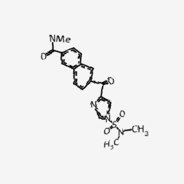 CNC(=O)c1ccc2cc(C(=O)c3cn(S(=O)(=O)N(C)C)cn3)ccc2c1